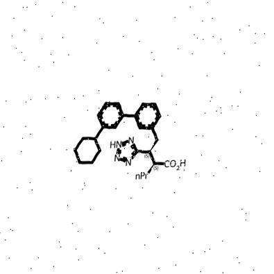 CCC[C@H](C(=O)O)[C@H](Cc1cccc(-c2cccc(C3CCCCC3)c2)c1)c1nn[nH]n1